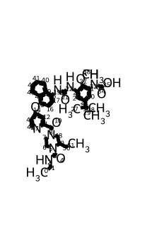 CCNC(=O)N1CCN(C(=O)c2cc(Oc3ccc(NC(=O)Nc4cc(C(C)(C)C)cc(NC(=O)O)c4OC)c4ccccc34)ccn2)CC1CC